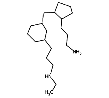 CCNCCCC1CCC[C@H](CC2CCCC2CCCN)C1